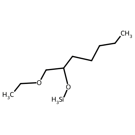 CCCCCC(COCC)O[SiH3]